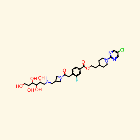 O=C(OCCC1CCN(c2ncc(Cl)cn2)CC1)c1ccc(CC(=O)N2CC(CNC[C@H](O)[C@@H](O)[C@H](O)[C@H](O)CO)C2)c(F)c1